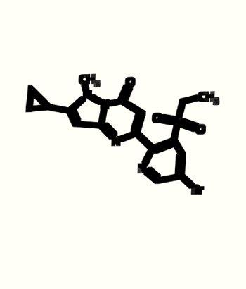 CCS(=O)(=O)c1cc(Br)cnc1-c1cc(=O)n2c(cc(C3CC3)n2C)n1